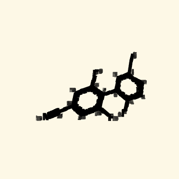 Cc1[c]cc(F)c(-c2c(F)cc(C#N)cc2F)c1